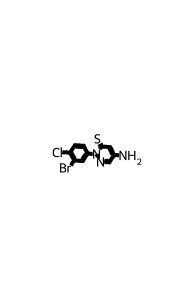 Nc1cnn(-c2ccc(Cl)c(Br)c2)c(=S)c1